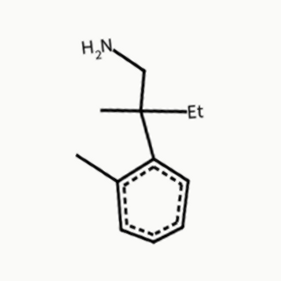 CCC(C)(CN)c1ccccc1C